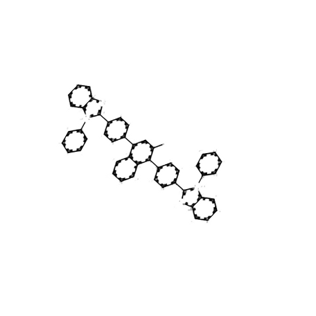 Cc1cc(-c2ccc(-c3nc4ccccc4n3-c3ccccc3)cc2)c2ccccc2c1-c1ccc(-c2nc3ccccc3n2-c2ccccc2)cc1